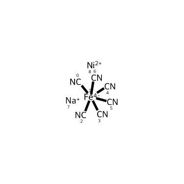 N#[C][Fe-4]([C]#N)([C]#N)([C]#N)([C]#N)[C]#N.[Na+].[Ni+2]